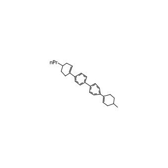 CCCC1CC=C(c2ccc(-c3ccc(C4=CCC(C)CC4)cc3)cc2)CC1